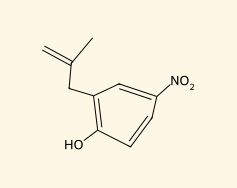 C=C(C)Cc1cc([N+](=O)[O-])ccc1O